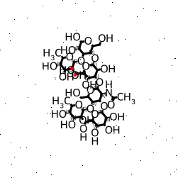 CC(=O)N[C@H]1C(O[C@@H]2OC(CO)[C@H](O)C(O)[C@@H]2O)[C@H](O[C@@H]2OC(C)[C@@H](O)[C@H](O)C2O)C(CO)O[C@H]1O[C@@H]1C(O)[C@H](O[C@@H]2C(CO)OC(O)[C@@H](O)C2O[C@@H]2OC(C)[C@@H](O)C(O)[C@@H]2O)OC(CO)[C@@H]1O